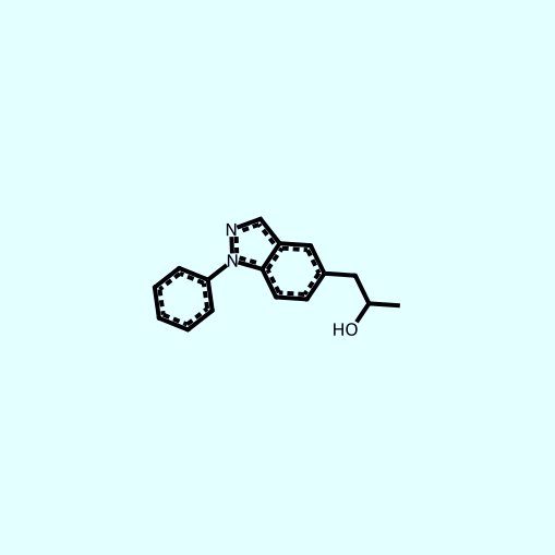 CC(O)Cc1ccc2c(cnn2-c2ccccc2)c1